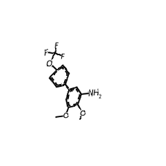 COc1cc(-c2ccc(OC(F)(F)F)cc2)cc(N)c1OC